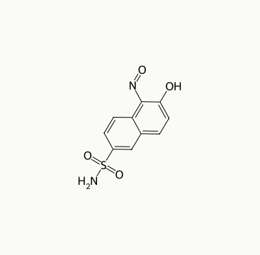 NS(=O)(=O)c1ccc2c(N=O)c(O)ccc2c1